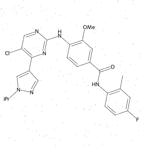 COc1cc(C(=O)Nc2ccc(F)cc2C)ccc1Nc1ncc(Cl)c(-c2cnn(C(C)C)c2)n1